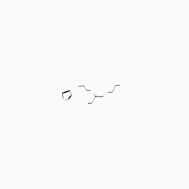 SCCSCC(CS)SCCS.c1ccsc1